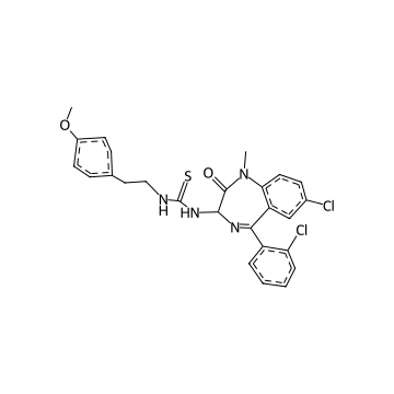 COc1ccc(CCNC(=S)NC2N=C(c3ccccc3Cl)c3cc(Cl)ccc3N(C)C2=O)cc1